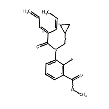 C=C/C=C(\C=C/C)C(=O)N(CC1CC1)c1cccc(C(=O)OC)c1F